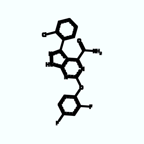 NC(=O)c1nc(Oc2ccc(F)cc2F)nc2[nH]nc(-c3ccccc3Cl)c12